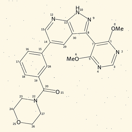 COc1ncnc(OC)c1-c1n[nH]c2ncc(-c3cccc(C(=O)N4CCOCC4)c3)cc12